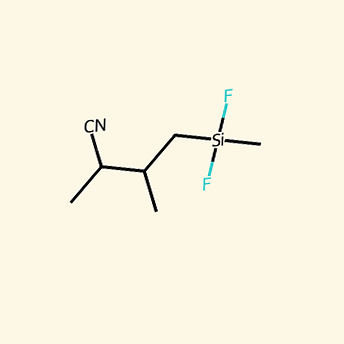 CC(C#N)C(C)C[Si](C)(F)F